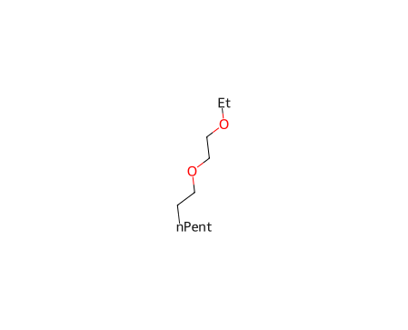 CCCCCCCOCCOCC